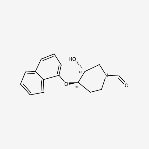 O=CN1CC[C@@H](Oc2cccc3ccccc23)[C@H](O)C1